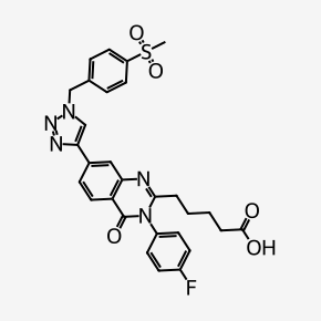 CS(=O)(=O)c1ccc(Cn2cc(-c3ccc4c(=O)n(-c5ccc(F)cc5)c(CCCCC(=O)O)nc4c3)nn2)cc1